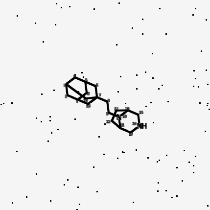 C1C2CC3CC1CC(CCN1C4CCC1CNC4)(C2)C3